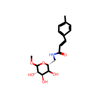 COC1O[C@H](CNC(=O)/C=C/c2ccc(C)cc2)C(O)[C@@H](O)[C@@H]1O